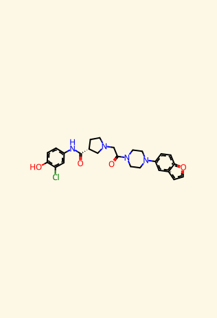 O=C(Nc1ccc(O)c(Cl)c1)[C@@H]1CCN(CC(=O)N2CCN(c3ccc4occc4c3)CC2)C1